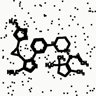 C=NN(C1=C(C)CCC1(C)C)[C@H]1CCC[C@H](c2cccc(-n3ncc(C(=O)O)c3C3CC3c3cn(C)nn3)c2)C1